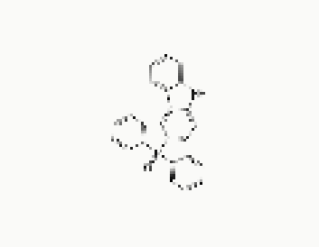 O=P(c1ccccc1)(c1ccccc1)c1ccc2[nH]c3ccccc3c2c1